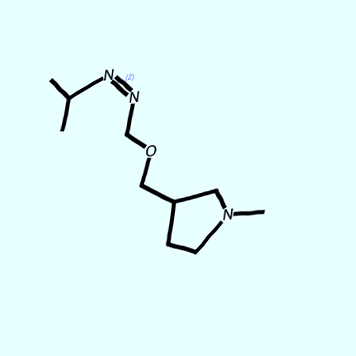 CC(C)/N=N\COCC1CCN(C)C1